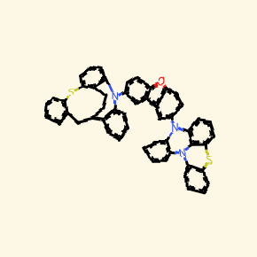 c1ccc2c(c1)CC1CCc3c(cccc3N(c3ccc4oc5ccc(N6c7ccccc7N7c8ccccc8Sc8cccc6c87)cc5c4c3)c3ccccc31)S2